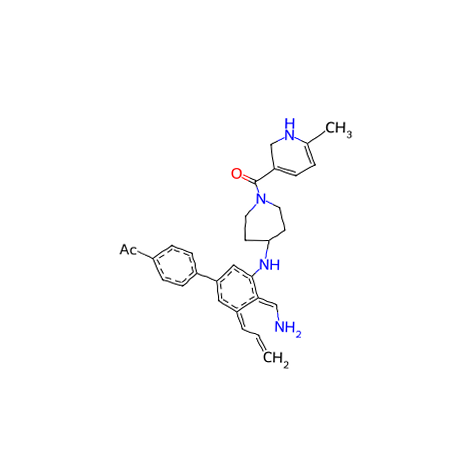 C=C/C=c1/cc(-c2ccc(C(C)=O)cc2)cc(NC2CCN(C(=O)C3=CC=C(C)NC3)CC2)/c1=C/N